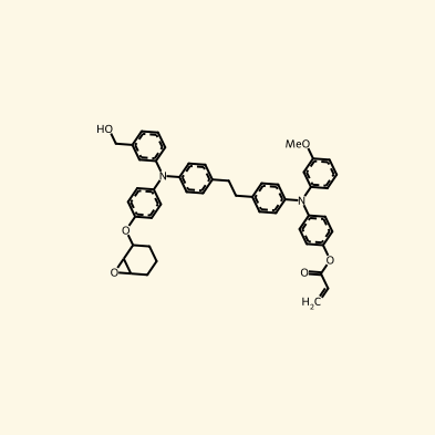 C=CC(=O)Oc1ccc(N(c2ccc(CCc3ccc(N(c4ccc(OC5CCCC6OC56)cc4)c4cccc(CO)c4)cc3)cc2)c2cccc(OC)c2)cc1